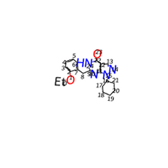 CCOc1ccccc1Cc1nc2c(cnn2C2CCCCC2)c(=O)[nH]1